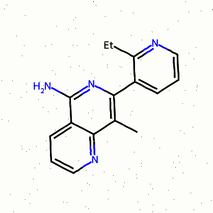 CCc1ncccc1-c1nc(N)c2cccnc2c1C